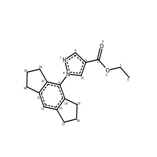 CCOC(=O)c1cnn(-c2c3c(cc4c2CCC4)CCC3)c1